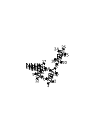 C[Si](C)(C)[Er+][Si](C)(C)C.C[Si](C)(C)[Er+][Si](C)(C)C.C[Si](C)(C)[Er+][Si](C)(C)C.[NH2-].[NH2-].[NH2-]